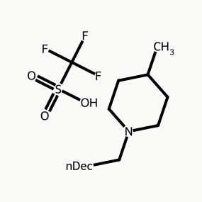 CCCCCCCCCCCN1CCC(C)CC1.O=S(=O)(O)C(F)(F)F